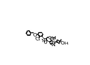 CC1(O)CC(n2ncc(-c3onc(-c4cccc(OCc5ccccc5)c4Cl)c3CO)c2C(F)(F)F)C1